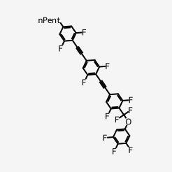 CCCCCc1cc(F)c(C#Cc2cc(F)c(C#Cc3cc(F)c(C(F)(F)Oc4cc(F)c(F)c(F)c4)c(F)c3)c(F)c2)c(F)c1